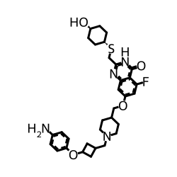 Nc1ccc(OC2CC(CN3CCC(COc4cc(F)c5c(=O)[nH]c(CS[C@H]6CC[C@H](O)CC6)nc5c4)CC3)C2)cc1